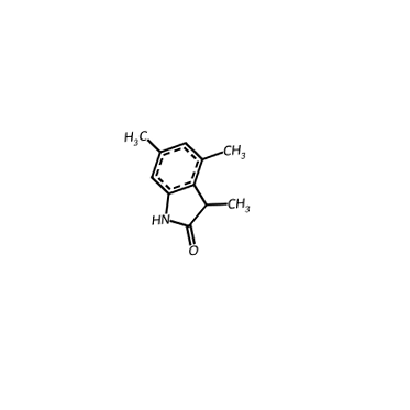 Cc1cc(C)c2c(c1)NC(=O)C2C